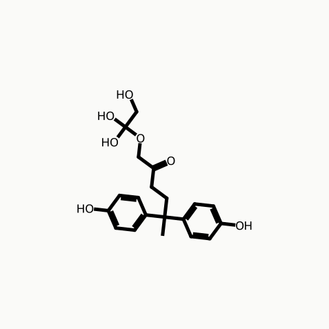 CC(CCC(=O)COC(O)(O)CO)(c1ccc(O)cc1)c1ccc(O)cc1